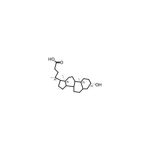 C[C@H](CCC(=O)O)C1CCC2C3CCC4C[C@@H](O)CC[C@]4(C)C3CC[C@@]21C